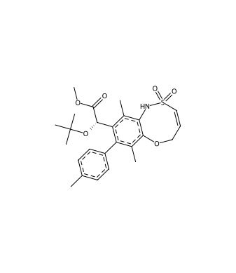 COC(=O)[C@@H](OC(C)(C)C)c1c(C)c2c(c(C)c1-c1ccc(C)cc1)OC/C=C\S(=O)(=O)N2